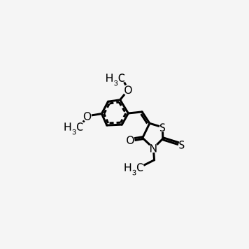 CCN1C(=O)/C(=C\c2ccc(OC)cc2OC)SC1=S